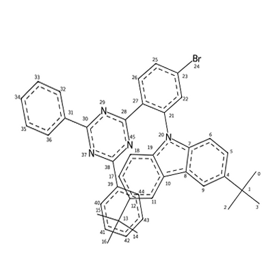 CC(C)(C)c1ccc2c(c1)c1cc(C(C)(C)C)ccc1n2-c1cc(Br)ccc1-c1nc(-c2ccccc2)nc(-c2ccccc2)n1